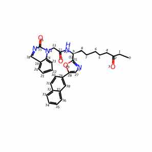 CCC(=O)CCCCC[C@H](NC(=O)Cn1c(=O)ncc2ccccc21)c1ncc(-c2ccc3ccccc3c2)o1